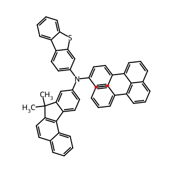 CC1(C)c2cc(N(c3ccc(-c4cccc5cccc(-c6ccccc6)c45)cc3)c3ccc4c(c3)sc3ccccc34)ccc2-c2c1ccc1ccccc21